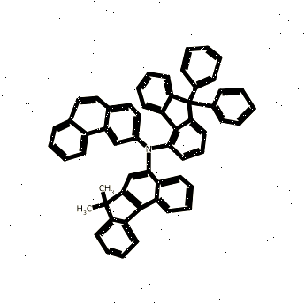 CC1(C)c2ccccc2-c2c1cc(N(c1ccc3ccc4ccccc4c3c1)c1cccc3c1-c1ccccc1C3(c1ccccc1)c1ccccc1)c1ccccc21